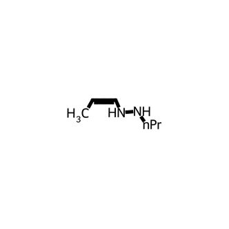 C/C=C\NNCCC